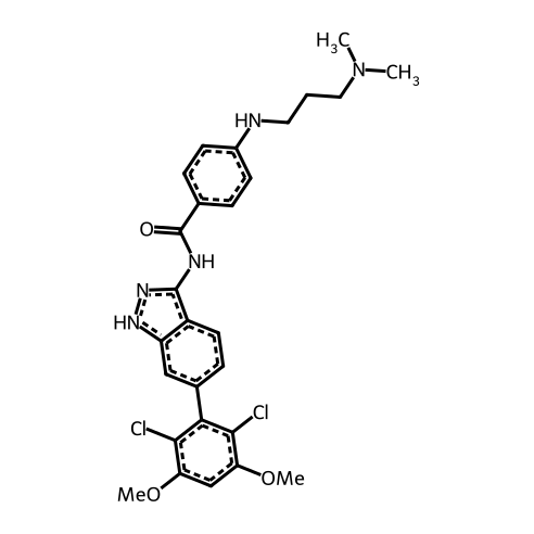 COc1cc(OC)c(Cl)c(-c2ccc3c(NC(=O)c4ccc(NCCCN(C)C)cc4)n[nH]c3c2)c1Cl